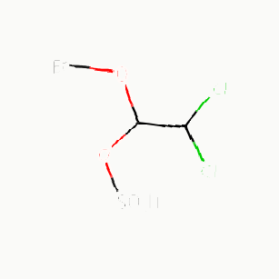 CCOC(OS(=O)(=O)O)C(Cl)Cl